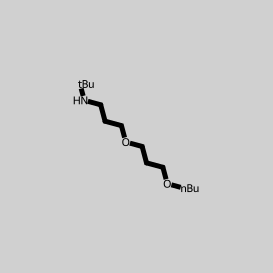 CCCCOCCCOCCCNC(C)(C)C